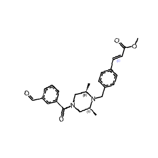 COC(=O)/C=C/c1ccc(CN2[C@H](C)CN(C(=O)c3cccc(C=O)c3)C[C@@H]2C)cc1